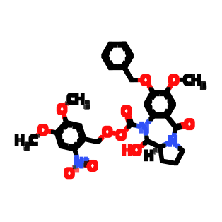 COc1cc(COOC(=O)N2c3cc(OCc4ccccc4)c(OC)cc3C(=O)N3CCC[C@H]3C2O)c([N+](=O)[O-])cc1OC